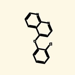 Clc1ccccc1Oc1ccnc2ncccc12